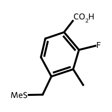 CSCc1ccc(C(=O)O)c(F)c1C